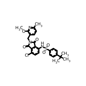 COc1nc(C)ccc1CN1C(=O)c2c(Cl)ccc(NS(=O)(=O)c3ccc(C(C)(C)C)cc3)c2C1=O